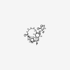 O=C(O)C(F)(F)F.O=C1CCCCCc2cc(ccn2)-c2c(cnn2C(F)F)N1